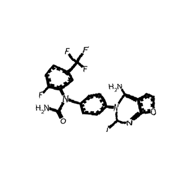 NC(=O)N(c1ccc(N2C(N)=c3ccoc3=NC2I)cc1)c1cc(C(F)(F)F)ccc1F